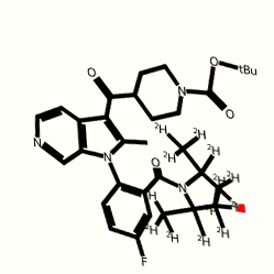 [2H]C([2H])([2H])C([2H])(N(C(=O)c1cc(F)ccc1-n1c(C)c(C(=O)C2CCN(C(=O)OC(C)(C)C)CC2)c2ccncc21)C([2H])(C([2H])([2H])[2H])C([2H])([2H])[2H])C([2H])([2H])[2H]